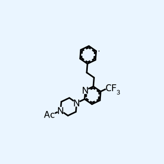 CC(=O)N1CCN(c2ccc(C(F)(F)F)c(CCc3c[c]ccc3)n2)CC1